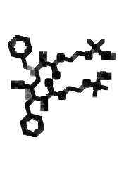 CC(C)(C)[Si](C)(C)OCCOC(=O)N[C@@H](Cc1ccccc1)C[C@H](O)[C@H](Cc1ccccc1)NC(=O)OCCO[Si](C)(C)C(C)(C)C